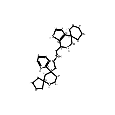 c1ccc([C@]2(CCNCC3OCC4(CCCCC4)c4ccsc43)CCOC3(CCCC3)C2)nc1